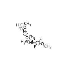 CCOc1cc(F)c(Nc2ncnc(OC3CCN(C(=O)OC(C)C)CC3)c2OC)cc1F